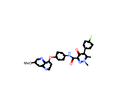 COc1cnc2c(Oc3ccc(NC(=O)c4nn(C)c(C)c(-c5ccc(F)cc5)c4=O)cc3)ccnc2c1